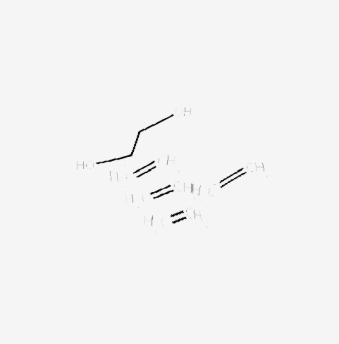 C=C.C=C.C=C.C=C.OCCO